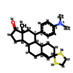 CCN(CC)c1ccc(C2CC3(C)C(=O)CCC3C3CCC4=CC5(CCC4C23)SCCS5)cc1